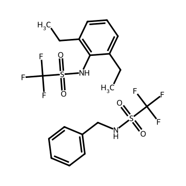 CCc1cccc(CC)c1NS(=O)(=O)C(F)(F)F.O=S(=O)(NCc1ccccc1)C(F)(F)F